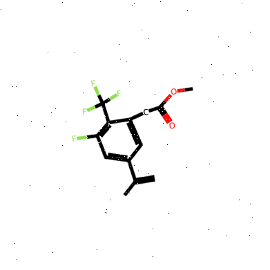 C=C(C)c1cc(F)c(C(F)(F)F)c(CC(=O)OC)c1